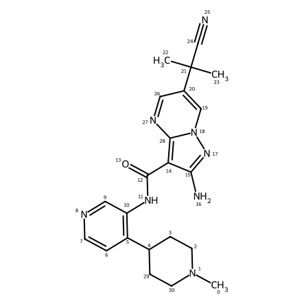 CN1CCC(c2ccncc2NC(=O)c2c(N)nn3cc(C(C)(C)C#N)cnc23)CC1